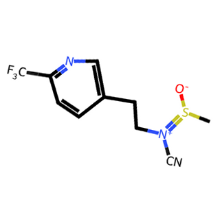 CS([O-])=[N+](C#N)CCc1ccc(C(F)(F)F)nc1